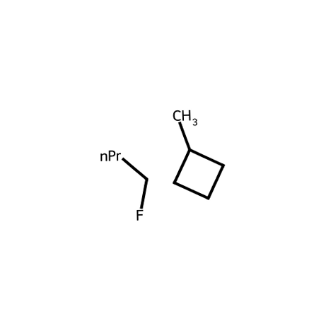 CC1CCC1.CCCCF